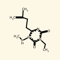 C=C(C)CCc1nc(=O)n(CC)c(=O)n1PC